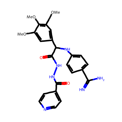 COc1cc(C(Nc2ccc(C(=N)N)cc2)C(=O)NNC(=O)c2ccncc2)cc(OC)c1OC